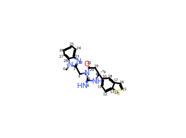 Cn1c(CN2C(=N)N[C@](C)(c3ccc4sccc4c3)CC2=O)nc2ccccc21